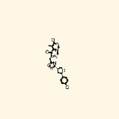 Cc1c(=O)ncn2cnn(Cc3nc([C@@H]4CO[C@@H](c5ccc(Cl)cc5)C4)no3)c(=O)c12